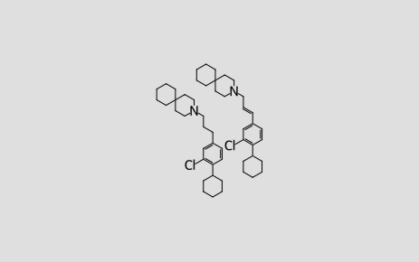 Clc1cc(C=CCN2CCC3(CCCCC3)CC2)ccc1C1CCCCC1.Clc1cc(CCCN2CCC3(CCCCC3)CC2)ccc1C1CCCCC1